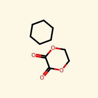 C1CCCCC1.O=C1OCCOC1=O